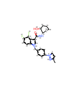 Cc1ccn(-c2ccc(Cn3cc(C(=O)N[C@H]4CCCC[C@@H]4O)c4c(F)c(F)ccc43)cc2)n1